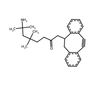 CC(C)(N)CC(C)(C)CCC(=O)CC1Cc2ccccc2C#Cc2ccccc21